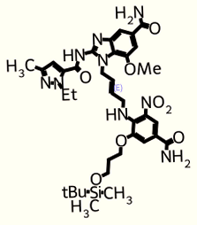 CCn1nc(C)cc1C(=O)Nc1nc2cc(C(N)=O)cc(OC)c2n1C/C=C/CNc1c(OCCCO[Si](C)(C)C(C)(C)C)cc(C(N)=O)cc1[N+](=O)[O-]